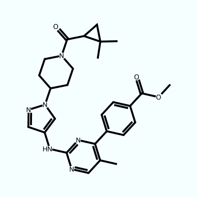 COC(=O)c1ccc(-c2nc(Nc3cnn(C4CCN(C(=O)C5CC5(C)C)CC4)c3)ncc2C)cc1